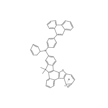 CC1(C)c2cc(N(c3ccc(-c4cc5ccccc5c5ccccc45)cc3)C3C=CC=CC3)ccc2-c2c1c1ccccc1c1c3c(oc21)C=CC1=C[C@H]13